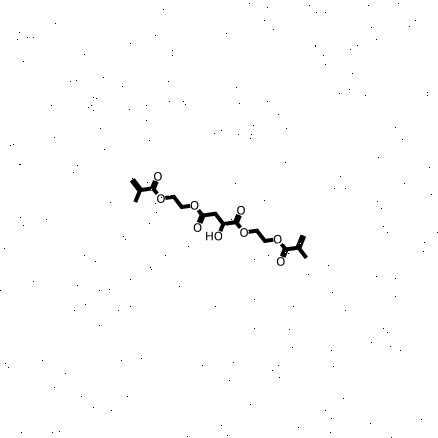 C=C(C)C(=O)OCCOC(=O)CC(O)C(=O)OCCOC(=O)C(=C)C